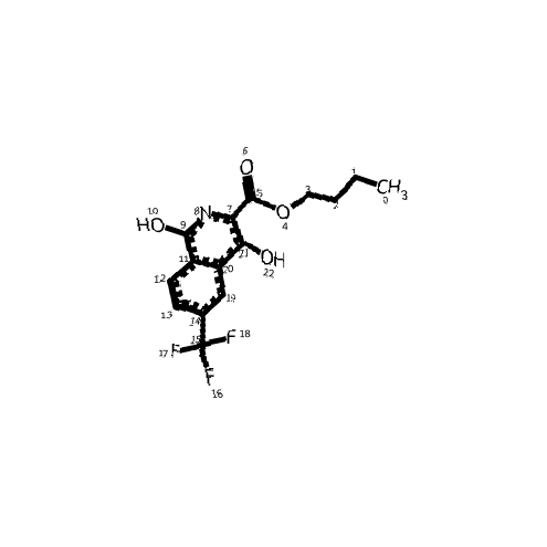 CCCCOC(=O)c1nc(O)c2ccc(C(F)(F)F)cc2c1O